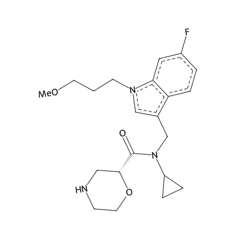 COCCCn1cc(CN(C(=O)[C@H]2CNCCO2)C2CC2)c2ccc(F)cc21